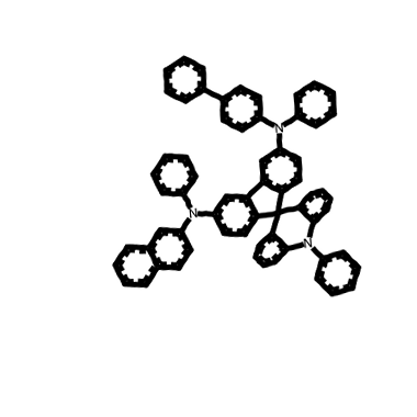 c1ccc(-c2ccc(N(c3ccccc3)c3ccc4c(c3)-c3cc(N(c5ccccc5)c5ccc6ccccc6c5)ccc3C43c4ccccc4N(c4ccccc4)c4ccccc43)cc2)cc1